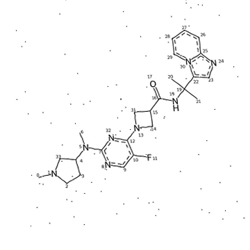 CN1CCC(N(C)c2ncc(F)c(N3CC(C(=O)NC(C)(C)c4cnc5ccccn45)C3)n2)C1